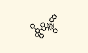 c1ccc(-c2cc(-c3ccc(-c4nc(-c5ccccc5)nc(-c5ccc6ccccc6c5)n4)c4ccccc34)c3c(c2)oc2ccccc23)cc1